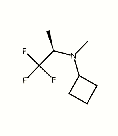 C[C@@H](N(C)C1CCC1)C(F)(F)F